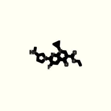 CCOC(=O)c1cn(C2CC2)c2nc(N3CCC(NC)C3)c(F)cc2c1=O